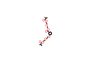 C=C(C)C(=O)OCCOCCOC(=O)c1cccc(OCCOCCOC(=O)C(=C)C)c1